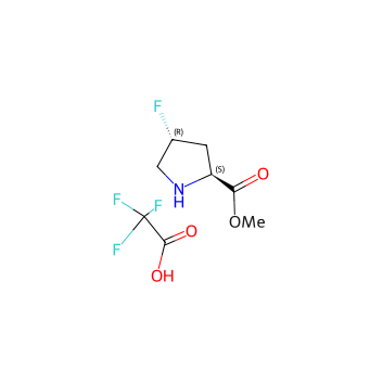 COC(=O)[C@@H]1C[C@@H](F)CN1.O=C(O)C(F)(F)F